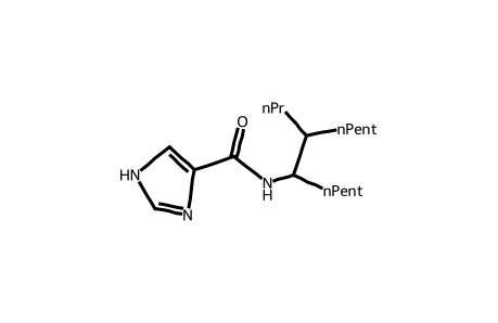 CCCCCC(CCC)C(CCCCC)NC(=O)c1c[nH]cn1